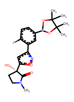 CN1CC[C@@](O)(c2cc(-c3cc(B4OC(C)(C)C(C)(C)O4)ccc3F)no2)C1=O